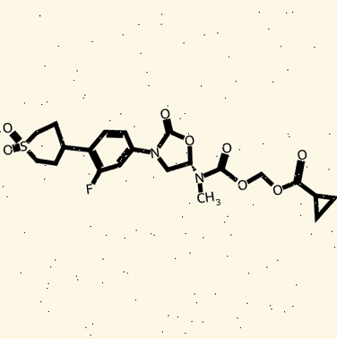 CN(C(=O)OCOC(=O)C1CC1)[C@@H]1CN(c2ccc(C3CCS(=O)(=O)CC3)c(F)c2)C(=O)O1